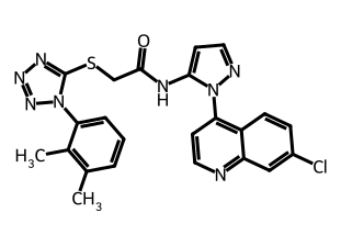 Cc1cccc(-n2nnnc2SCC(=O)Nc2ccnn2-c2ccnc3cc(Cl)ccc23)c1C